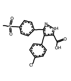 CS(=O)(=O)c1ccc(-c2n[nH]c(C(=O)O)c2-c2ccc(Cl)cc2)cc1